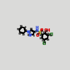 O=S(=O)(Nc1cnn(-c2ccccc2)c1)c1cc(Cl)cc(Cl)c1O